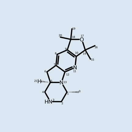 C[C@@H]1CNC[C@H]2Cc3cc4c(nc3N21)C(C)(C)OC4(C)C